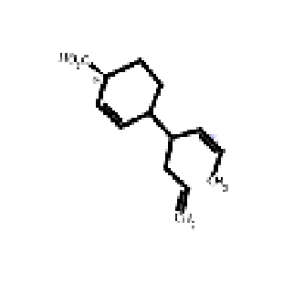 C=CCC(/C=C\C)C1C=C[C@@H](C(=O)O)CC1